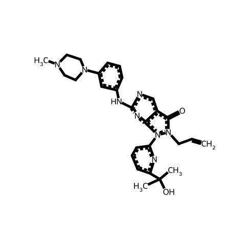 C=CCn1c(=O)c2cnc(Nc3cccc(N4CCN(C)CC4)c3)nc2n1-c1cccc(C(C)(C)O)n1